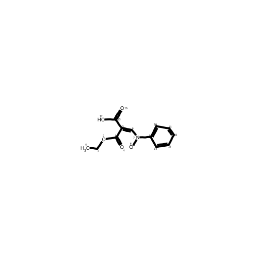 CCOC(=O)C(=CN(Cl)c1ccccc1)C(=O)O